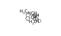 Cc1cc2ccccc2c(C(C)(C)NC(=O)CC2CCCN2C)n1